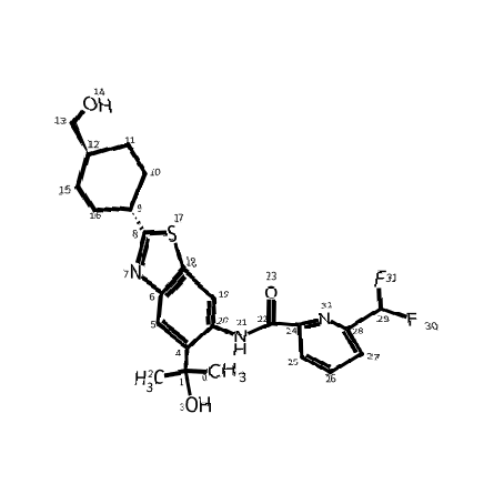 CC(C)(O)c1cc2nc([C@H]3CC[C@H](CO)CC3)sc2cc1NC(=O)c1cccc(C(F)F)n1